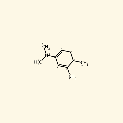 CC1=CC(N(C)C)=CCC1C